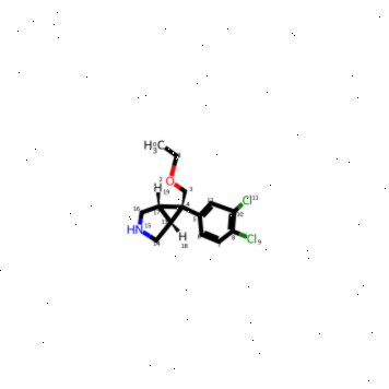 CCOC[C@@]1(c2ccc(Cl)c(Cl)c2)[C@@H]2CNC[C@@H]21